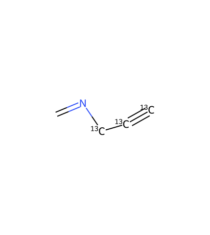 C=N[13CH2][13C]#[13CH]